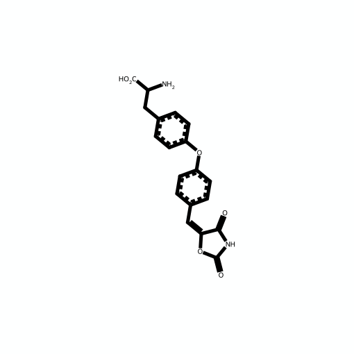 NC(Cc1ccc(Oc2ccc(/C=C3/OC(=O)NC3=O)cc2)cc1)C(=O)O